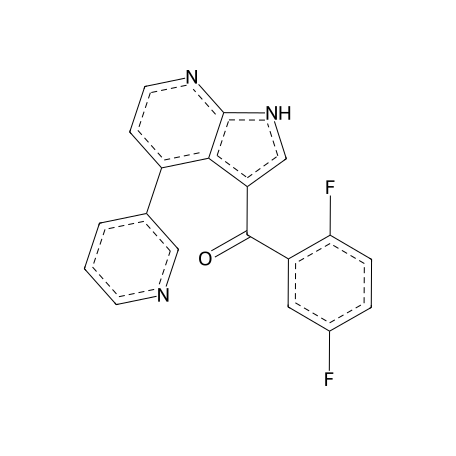 O=C(c1cc(F)ccc1F)c1c[nH]c2nccc(-c3cccnc3)c12